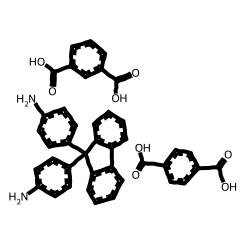 Nc1ccc(C2(c3ccc(N)cc3)c3ccccc3-c3ccccc32)cc1.O=C(O)c1ccc(C(=O)O)cc1.O=C(O)c1cccc(C(=O)O)c1